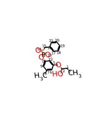 CCC(O)Oc1cc(C)cc(OS(=O)(=O)Cc2ccccc2)c1